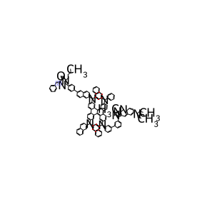 CCCCN1C(=O)/C(=C/c2ccccc2)N=C1c1ccc(-c2ccc3cc(N(c4ccccc4)c4ccc5c6ccc(N(c7ccc8ccccc8c7)c7ccc8ccccc8c7)cc6c6c7cc(N(c8ccccc8)c8cccc(-c9cccc(-c%10nn(C)c%11nc%12ccc(N(CC)CC)cc%12cc%10%11)c9)c8)ccc7c7ccc(N(c8ccccc8)c8ccc9ccccc9c8)cc7c6c5c4)ccc3c2)cc1